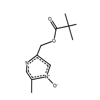 Cc1cnc(COC(=O)C(C)(C)C)c[n+]1[O-]